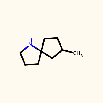 CC1CCC2(CCCN2)C1